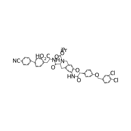 CC(C)OC(=O)N1Cc2cc3c(cc2CC1C(=O)N[C@@H](Cc1ccc(-c2ccc(C#N)cc2)cc1)C(=O)O)NC(=O)[C@H](c1ccc(OCc2ccc(Cl)c(Cl)c2)cc1)O3